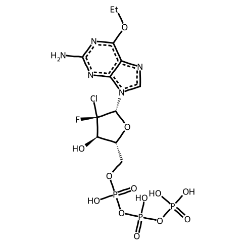 CCOc1nc(N)nc2c1ncn2[C@@H]1O[C@H](COP(=O)(O)OP(=O)(O)OP(=O)(O)O)[C@@H](O)[C@]1(F)Cl